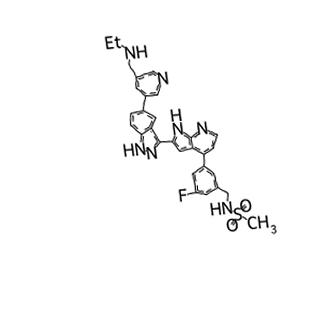 CCNCc1cncc(-c2ccc3[nH]nc(-c4cc5c(-c6cc(F)cc(CNS(C)(=O)=O)c6)ccnc5[nH]4)c3c2)c1